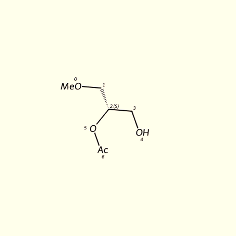 COC[C@H](CO)OC(C)=O